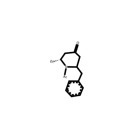 CC[C@@H]1CC(=O)CC(Cc2ccccc2)N1C(C)=O